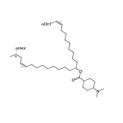 CCCCCCCC/C=C\CCCCCCCCC(CCCCCCCC/C=C\C[C@H](C)CCCCCC)OC(=O)C1CCC(N(C)C)CC1